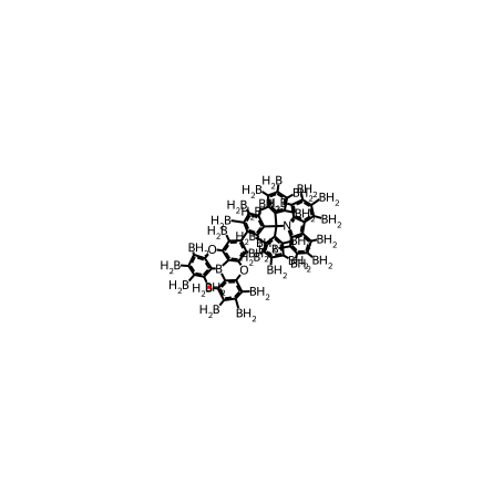 Bc1c(B)c(B)c(C(c2c(B)c(B)c(B)c(B)c2B)(c2c(B)c(B)c(B)c(-c3c(B)c4c5c(c3B)Oc3c(B)c(B)c(B)c(B)c3B5c3c(B)c(B)c(B)c(B)c3O4)c2B)n2c3c(B)c(B)c(B)c(B)c3c3c(B)c(B)c(B)c(B)c32)c(B)c1B